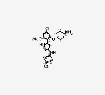 COc1cc(Cl)cc(O[C@H]2CC[C@H](N)CC2)c1-c1cc(Nc2cnc(C#N)cn2)n[nH]1